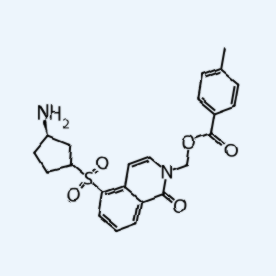 Cc1ccc(C(=O)OCn2ccc3c(S(=O)(=O)C4CC[C@@H](N)C4)cccc3c2=O)cc1